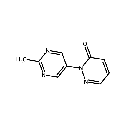 Cc1ncc(-n2ncccc2=O)cn1